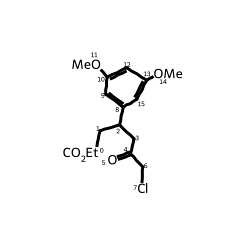 CCOC(=O)CC(CC(=O)CCl)c1cc(OC)cc(OC)c1